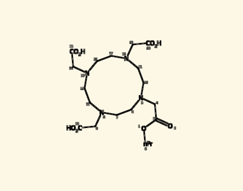 CCCOC(=O)CN1CCN(CC(=O)O)CCN(CC(=O)O)CCN(CC(=O)O)CC1